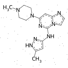 Cc1cc(Nc2nc(N3CCN(C)CC3)cc3nccn23)n[nH]1